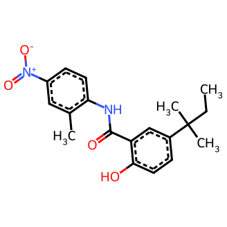 CCC(C)(C)c1ccc(O)c(C(=O)Nc2ccc([N+](=O)[O-])cc2C)c1